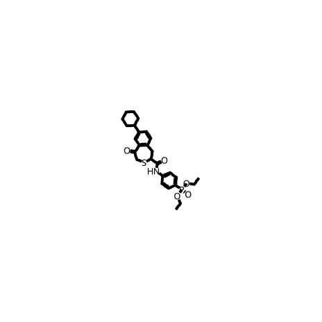 CCOP(=O)(OCC)c1ccc(NC(=O)C2Cc3ccc(C4CCCCC4)cc3C(=O)CS2)cc1